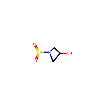 O=[SH](=O)N1CC(O)C1